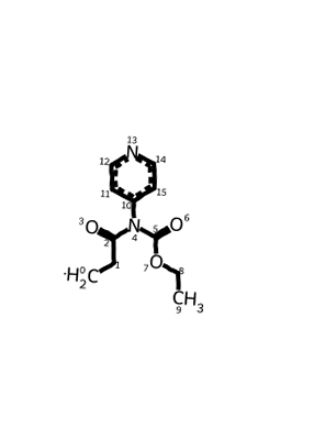 [CH2]CC(=O)N(C(=O)OCC)c1ccncc1